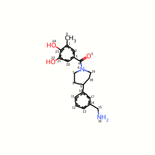 Cc1cc(C(=O)N2CCC(c3cccc(CN)c3)CC2)cc(O)c1O